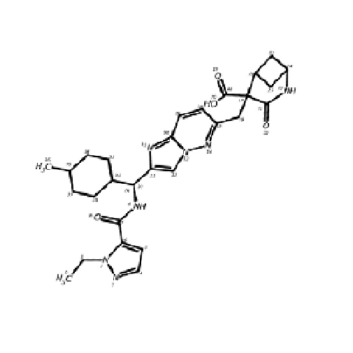 CCn1nccc1C(=O)N[C@H](c1cn2nc(CC3(C(=O)O)C(=O)NC4CC3C4)ccc2n1)C1CCC(C)CC1